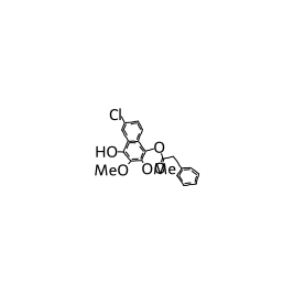 COc1c(OC)c(OC(=O)Cc2ccccc2)c2ccc(Cl)cc2c1O